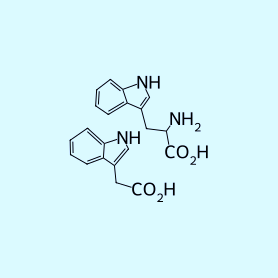 NC(Cc1c[nH]c2ccccc12)C(=O)O.O=C(O)Cc1c[nH]c2ccccc12